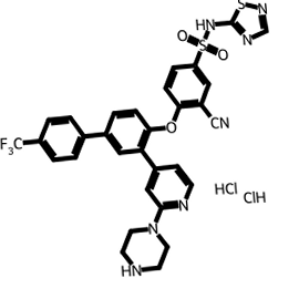 Cl.Cl.N#Cc1cc(S(=O)(=O)Nc2ncns2)ccc1Oc1ccc(-c2ccc(C(F)(F)F)cc2)cc1-c1ccnc(N2CCNCC2)c1